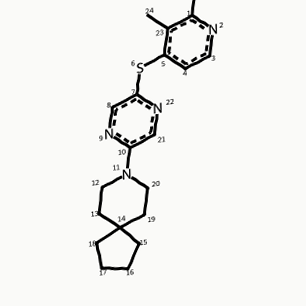 Cc1nccc(Sc2cnc(N3CCC4(CCCC4)CC3)cn2)c1C